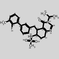 Cc1cccc(-c2cccc(CC3c4c(ncn(C(C)C)c4=O)CCC3NS(C)(=O)=O)c2)c1F